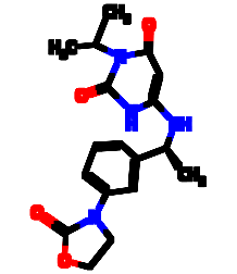 CC(C)n1c(=O)cc(N[C@@H](C)c2cccc(N3CCOC3=O)c2)[nH]c1=O